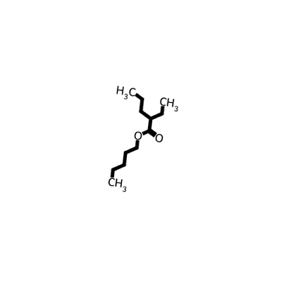 CCCCCOC(=O)C(CC)CCC